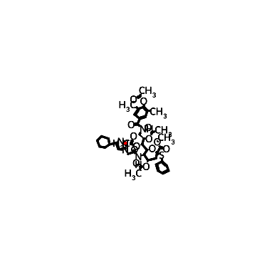 COC(=O)C1(Sc2ccccc2)C[C@H](OC(C)=O)[C@@H](NC(=O)Cn2cc(C3CCCCC3)nn2)[C@H]([C@H](OC(C)=O)[C@@H](CNC(=O)c2cc(C)c(OC(C)=O)c(C)c2)OC(C)=O)O1